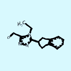 CCn1c(C=O)nnc1C1Cc2ccccc2C1